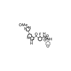 COc1ncc(-c2cnc3[nH]cc(C(=O)c4cccc(NS(=O)(=O)NC5CCOCC5)c4F)c3c2)cn1